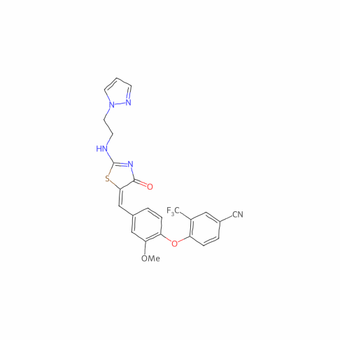 COc1cc(C=C2SC(NCCn3cccn3)=NC2=O)ccc1Oc1ccc(C#N)cc1C(F)(F)F